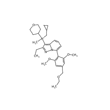 CCOCc1cc(OC)c(-c2cccc3c([N+](C)(CC4CC4)C4CCOCC4)c(CC)nn23)c(OC)c1